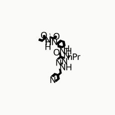 C=CC(=O)N[C@H](C)C(=O)Nc1cccc(NC(=O)c2cnc(NCCc3ccncc3)nc2NCCC)c1